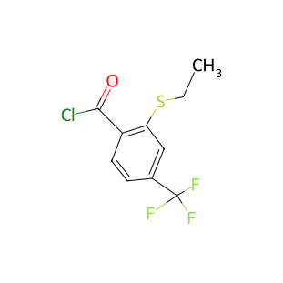 CCSc1cc(C(F)(F)F)ccc1C(=O)Cl